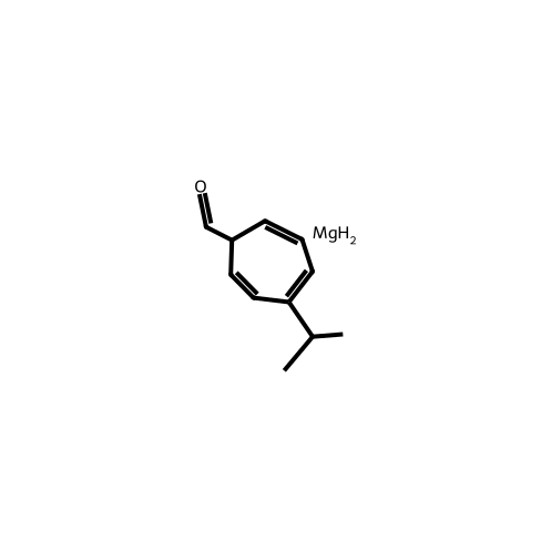 CC(C)C1=CC=CC(C=O)C=C1.[MgH2]